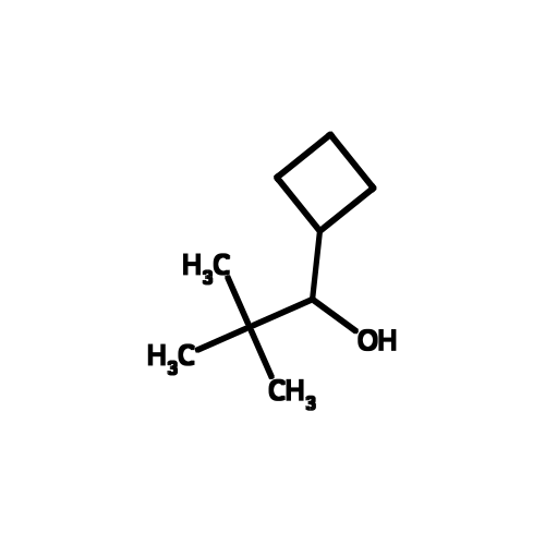 CC(C)(C)C(O)C1CCC1